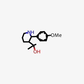 COc1ccc(C2NCCCC2C(C)(C)O)cc1